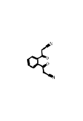 N#CCC(=O)c1ccccc1C(=O)CC#N